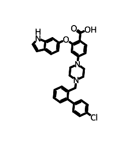 O=C(O)c1ccc(N2CCN(Cc3ccccc3-c3ccc(Cl)cc3)CC2)cc1Oc1ccc2cc[nH]c2c1